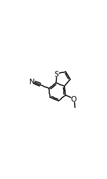 COc1ccc(C#N)c2sccc12